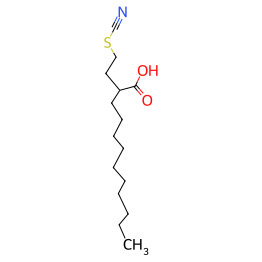 CCCCCCCCCCC(CCSC#N)C(=O)O